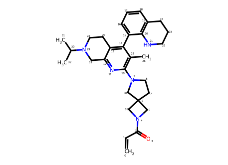 C=CC(=O)N1CC2(CCN(c3nc4c(c(-c5cccc6c5NCCC6)c3C)CCN(C(C)C)C4)C2)C1